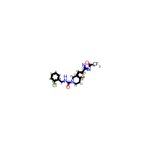 O=C(NCc1ccccc1Cl)N1CCc2sc(-c3noc(C(F)(F)F)n3)cc2C1